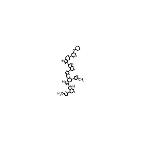 Cc1ccc(-c2cncc3[nH]c(-c4n[nH]c5c(Cc6ccc(-c7cncc8[nH]c(-c9n[nH]c%10cnc(-c%11cncc(OC%12CCCCC%12)c%11)cc9%10)cc78)s6)nc(-c6cnn(C)c6)cc45)cc23)s1